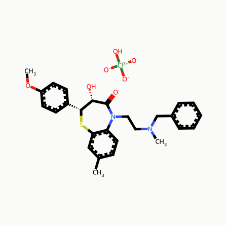 COc1ccc([C@H]2Sc3cc(C)ccc3N(CCN(C)Cc3ccccc3)C(=O)[C@H]2O)cc1.[O-][Cl+3]([O-])([O-])O